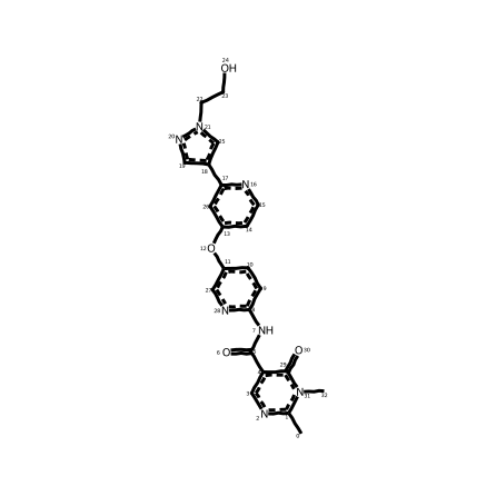 Cc1ncc(C(=O)Nc2ccc(Oc3ccnc(-c4cnn(CCO)c4)c3)cn2)c(=O)n1C